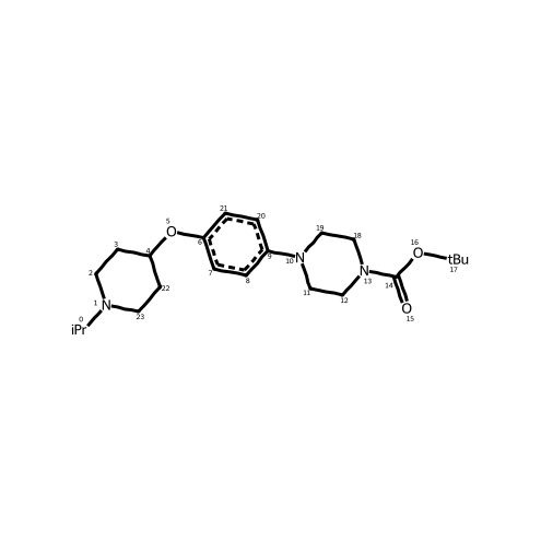 CC(C)N1CCC(Oc2ccc(N3CCN(C(=O)OC(C)(C)C)CC3)cc2)CC1